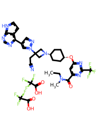 CCN(C)C(=O)c1cc(O[C@H]2CC[C@@H](N3CC(CC#N)(n4cc(-c5ncnc6[nH]ccc56)cn4)C3)CC2)nc(C(F)(F)F)n1.O=C(O)C(F)(F)F.O=C(O)C(F)(F)F